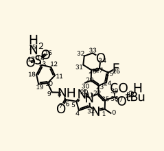 Cc1nc2cc(C(=O)NCc3ccc(S(N)(=O)=O)cc3)nn2c(-c2cc(F)c3c(c2C)CCCO3)c1[C@H](OC(C)(C)C)C(=O)O